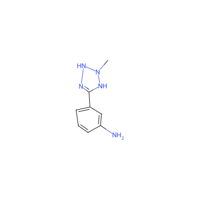 CN1NN=C(c2cccc(N)c2)N1